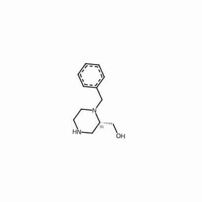 OC[C@@H]1CNCCN1Cc1ccccc1